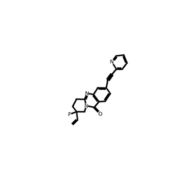 C=CC1(F)CCc2nc3cc(C#Cc4ccccn4)ccc3c(=O)n2C1